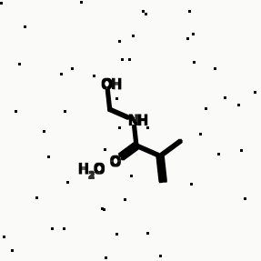 C=C(C)C(=O)NCO.O